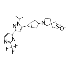 CC(C)n1nc(-c2ccnc(C(F)(F)F)n2)cc1C1C2CC(N3CCC4(C3)C[S+]([O-])C4)CC21